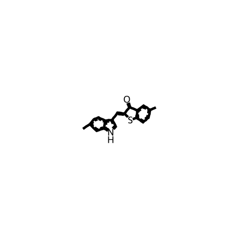 Cc1ccc2c(c1)C(=O)C(=Cc1c[nH]c3cc(C)ccc13)S2